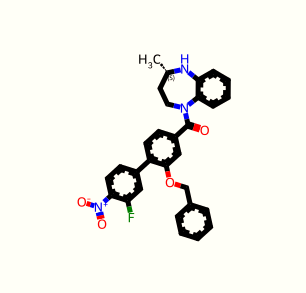 C[C@H]1CCN(C(=O)c2ccc(-c3ccc([N+](=O)[O-])c(F)c3)c(OCc3ccccc3)c2)c2ccccc2N1